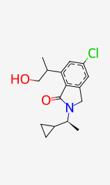 CC(CO)c1cc(Cl)cc2c1C(=O)N([C@@H](C)C1CC1)C2